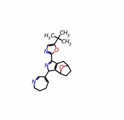 CC(C)(C)c1cnc(C2=NC(C3=CCCCN=C3)C3=C2CC2CCC3O2)o1